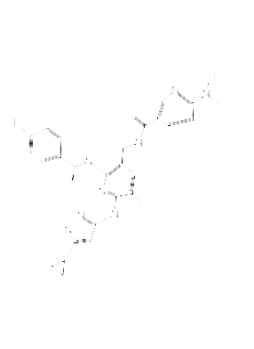 C[C@H](Nc1nc(Nc2cc(C3CC3)[nH]n2)c(F)cc1CNC(=O)c1ccc(N(C)C)nc1)c1ccc(F)cc1